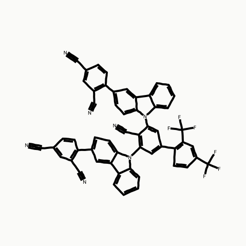 N#Cc1ccc(-c2ccc3c(c2)c2ccccc2n3-c2cc(-c3ccc(C(F)(F)F)cc3C(F)(F)F)cc(-n3c4ccccc4c4cc(-c5ccc(C#N)cc5C#N)ccc43)c2C#N)c(C#N)c1